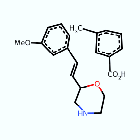 COc1cccc(C=CC2CNCCO2)c1.Cc1cccc(C(=O)O)c1